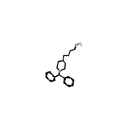 NCCCCC1CCN(C(c2ccccc2)c2ccccc2)CC1